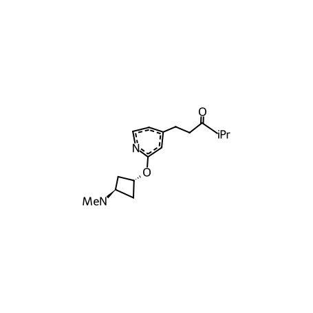 CN[C@H]1C[C@H](Oc2cc(CCC(=O)C(C)C)ccn2)C1